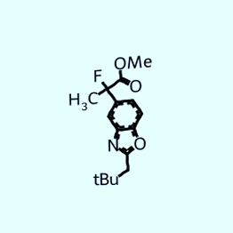 COC(=O)C(C)(F)c1ccc2oc(CC(C)(C)C)nc2c1